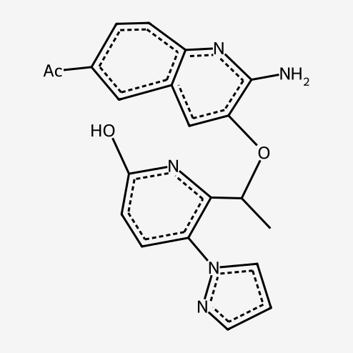 CC(=O)c1ccc2nc(N)c(OC(C)c3nc(O)ccc3-n3cccn3)cc2c1